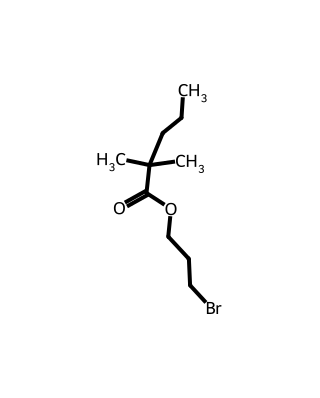 CCCC(C)(C)C(=O)OCCCBr